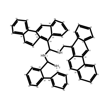 NC(NC(NCc1c2ccccc2cc2c1ccc1ccccc12)c1c2ccccc2cc2c1ccc1ccccc12)c1ccccc1-c1ccccc1